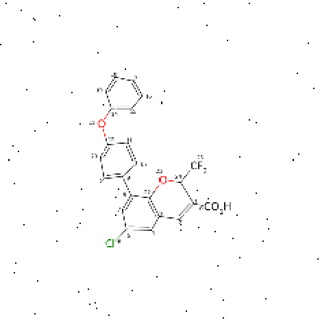 O=C(O)C1=Cc2cc(Cl)cc(-c3ccc(Oc4ccccc4)cc3)c2OC1C(F)(F)F